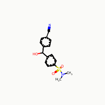 CN(C)S(=O)(=O)c1ccc(C(O)c2ccc(C#N)cc2)cc1